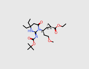 CCOC(=O)[C@@H]1C[C@H]1[C@@H](CCOC)N1C(=O)CC(CC)(CC)NC1=NC(=O)OC(C)(C)C